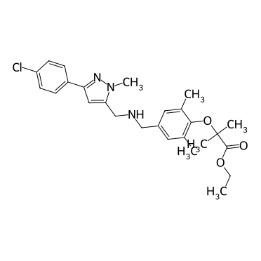 CCOC(=O)C(C)(C)Oc1c(C)cc(CNCc2cc(-c3ccc(Cl)cc3)nn2C)cc1C